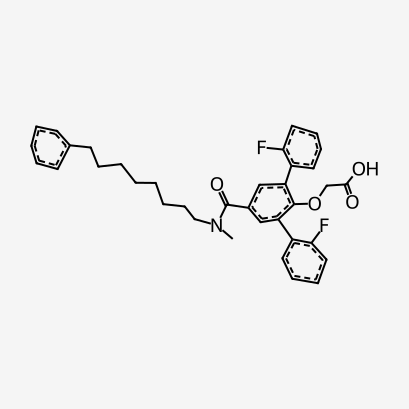 CN(CCCCCCCCc1ccccc1)C(=O)c1cc(-c2ccccc2F)c(OCC(=O)O)c(-c2ccccc2F)c1